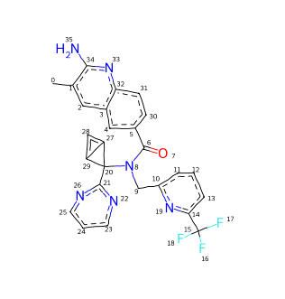 Cc1cc2cc(C(=O)N(Cc3cccc(C(F)(F)F)n3)C3(c4ncccn4)C4=C=C43)ccc2nc1N